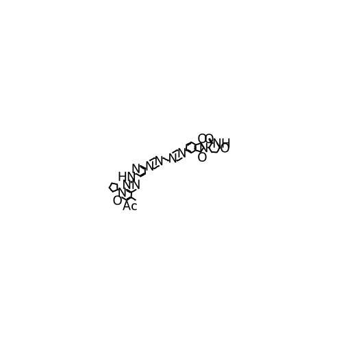 CC(=O)c1c(C)c2cnc(Nc3ccc(N4CCN(CCN5CCN(c6ccc7c(c6)C(=O)N(C6CCC(=O)NC6=O)C7=O)CC5)CC4)cn3)nc2n(C2CCCC2)c1=O